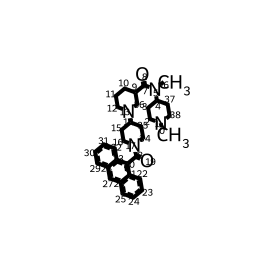 CN1CCC(N(C)C(=O)C2CCCN(C3CCN(C(=O)c4c5ccccc5cc5ccccc45)CC3)C2)CC1